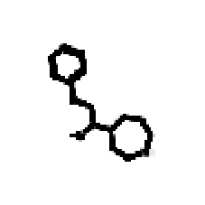 OC(COc1ccccc1)C1CCCNCC1